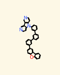 c1cc(-c2cccc(-c3ccc4oc5ccccc5c4c3)c2)cc(-c2cccc(-n3c4ccncc4c4cnccc43)c2)c1